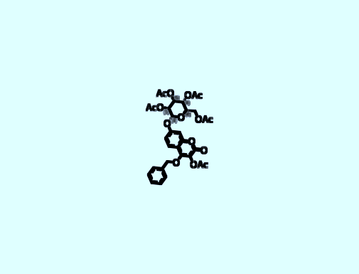 CC(=O)OC[C@H]1O[C@H](Oc2ccc3c(OCc4ccccc4)c(OC(C)=O)c(=O)oc3c2)[C@@H](OC(C)=O)[C@@H](OC(C)=O)[C@@H]1OC(C)=O